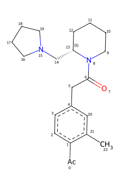 CC(=O)c1ccc(CC(=O)N2CCCC[C@H]2CN2CCCC2)cc1C